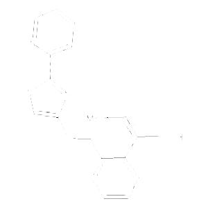 CO/C=C(/C(=O)O)c1ccccc1COc1csc(-c2ccccn2)n1